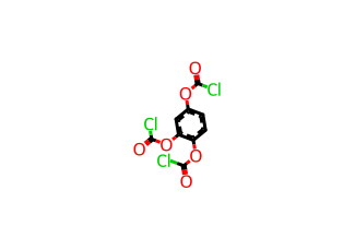 O=C(Cl)Oc1ccc(OC(=O)Cl)c(OC(=O)Cl)c1